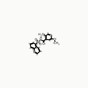 COc1cc(C(=O)NS(=O)(=O)c2cccc3ncccc23)c(C)cn1